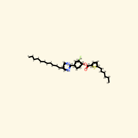 CCCCCCCCCCCc1cnc(-c2ccc(OC(=O)c3ccc(CCCCCC)s3)c(F)c2)nc1